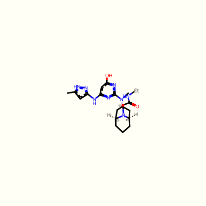 CCNC(=O)CN1[C@@H]2CCC[C@H]1C[C@H](N(C)c1nc(O)cc(Nc3cc(C)[nH]n3)n1)C2